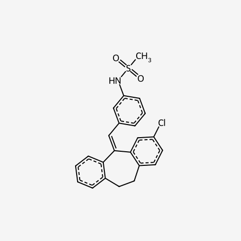 CS(=O)(=O)Nc1cccc(C=C2c3ccccc3CCc3ccc(Cl)cc32)c1